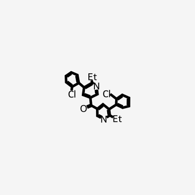 CCc1ncc(C(=O)c2cnc(CC)c(-c3ccccc3Cl)c2)cc1-c1ccccc1Cl